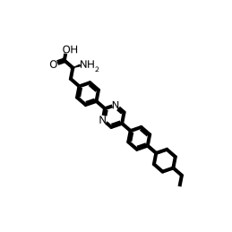 CCC1CCC(c2ccc(-c3cnc(-c4ccc(C[C@H](N)C(=O)O)cc4)nc3)cc2)CC1